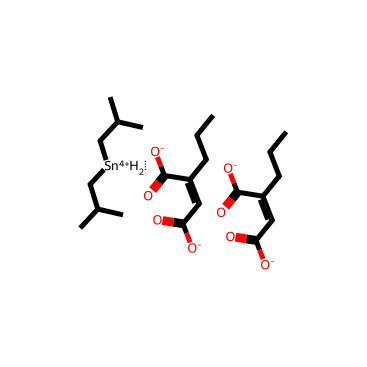 CC(C)[CH2][SnH2+4][CH2]C(C)C.CCC/C(=C/C(=O)[O-])C(=O)[O-].CCC/C(=C/C(=O)[O-])C(=O)[O-]